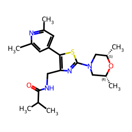 Cc1cc(-c2sc(N3C[C@@H](C)O[C@@H](C)C3)nc2CNC(=O)C(C)C)cc(C)n1